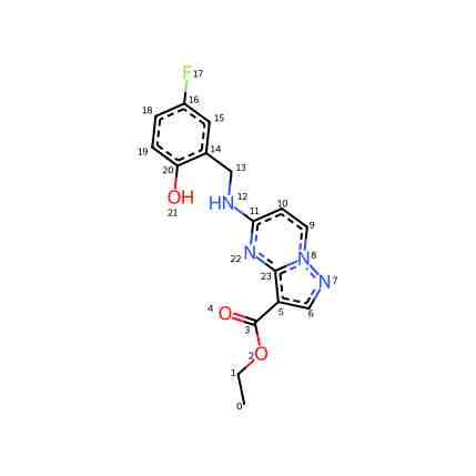 CCOC(=O)c1cnn2ccc(NCc3cc(F)ccc3O)nc12